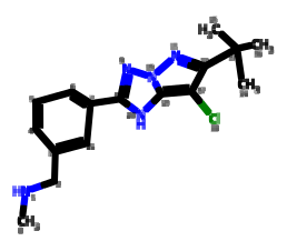 CNCc1cccc(-c2nn3nc(C(C)(C)C)c(Cl)c3[nH]2)c1